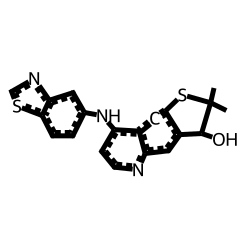 CC1(C)Sc2cc3c(Nc4ccc5scnc5c4)ccnc3cc2C1O